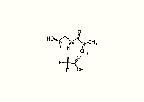 CN(C)C(=O)[C@H]1C[C@H](O)CN1.O=C(O)C(F)(F)F